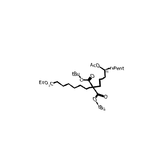 CCCCC[C@@H](CCCC(CCCCCCC(=O)OCC)(C(=O)OC(C)(C)C)C(=O)OC(C)(C)C)OC(C)=O